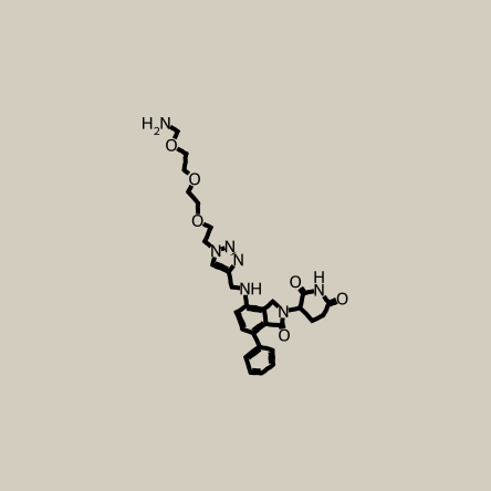 NCOCCOCCOCCn1cc(CNc2ccc(-c3ccccc3)c3c2CN(C2CCC(=O)NC2=O)C3=O)nn1